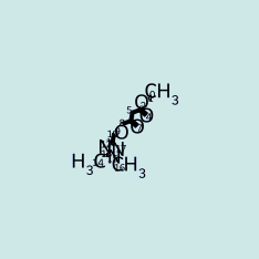 CCOC(=O)CC(=O)COCc1nc(C)n(C)n1